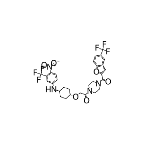 O=C(CO[C@H]1CC[C@H](Nc2ccc([N+](=O)[O-])c(C(F)(F)F)c2)CC1)N1CCN(C(=O)c2cc3cc(C(F)(F)F)ccc3o2)CC1